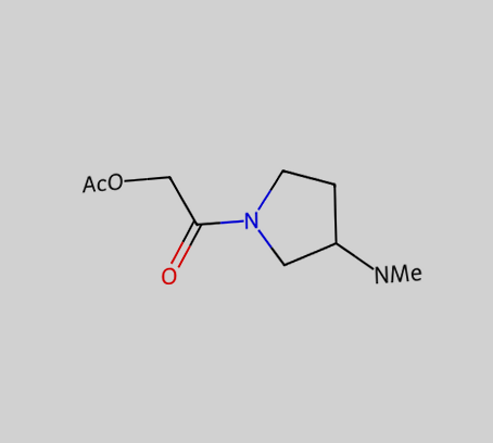 CNC1CCN(C(=O)COC(C)=O)C1